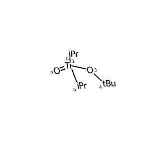 C[CH](C)[Ti](=[O])([O]C(C)(C)C)[CH](C)C